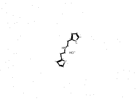 Cl.c1csc(CCNCCc2cccs2)c1